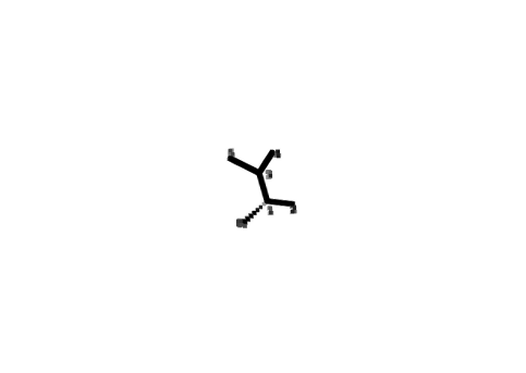 [CH2][C@@H](C)C(C)C